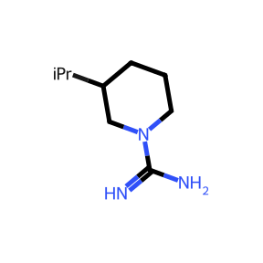 CC(C)C1CCCN(C(=N)N)C1